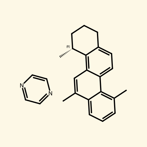 Cc1cc2c3c(ccc2c2c(C)cccc12)CCC[C@H]3C.c1cnccn1